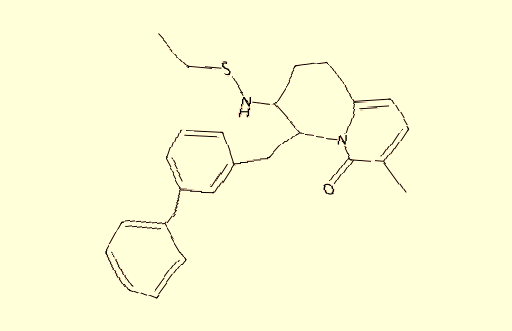 CCSNC1CCc2ccc(C)c(=O)n2C1Cc1cccc(-c2ccccc2)c1